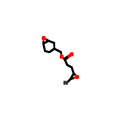 CCC1OC1CCC(=O)OCC1CCC2OC2C1